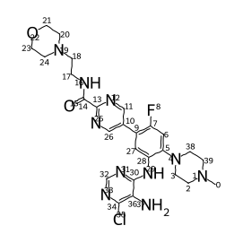 CN1CCN(c2cc(F)c(-c3cnc(C(=O)NCCN4CCOCC4)nc3)cc2Nc2ncnc(Cl)c2N)CC1